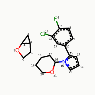 C1CC2CC2O1.Fc1ccc(-c2cccn2C2CCCCO2)cc1Cl